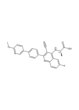 COc1ccc(-c2ccc(-c3nc4ccc(F)cc4c(N[C@H](C)C(=O)O)c3C#N)cc2)cn1